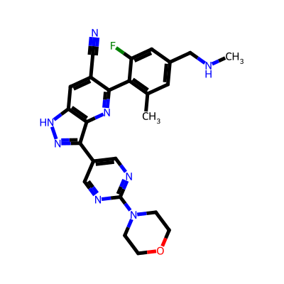 CNCc1cc(C)c(-c2nc3c(-c4cnc(N5CCOCC5)nc4)n[nH]c3cc2C#N)c(F)c1